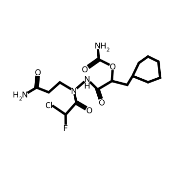 NC(=O)CCN(NC(=O)C(CC1CCCCC1)OC(N)=O)C(=O)C(F)Cl